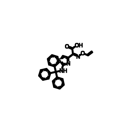 C=CON=C(C(=O)O)c1csc(NC(c2ccccc2)(c2ccccc2)c2ccccc2)n1